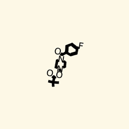 CC(C)(C)C(=O)ON1CCN(C(=O)c2ccc(F)cc2)CC1